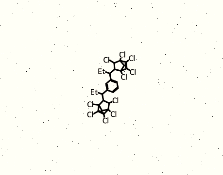 CCC(c1cccc(C(CC)C2C(Cl)C3(Cl)CC2(Cl)C(Cl)=C3Cl)c1)C1C(Cl)C2(Cl)CC1(Cl)C(Cl)=C2Cl